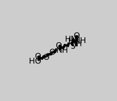 O=C(O)CCOCCOCCNC(=O)CCCC[C@@H]1SC[C@@H]2NC(=O)N[C@@H]21